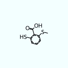 CSc1cccc(S)c1C(=O)O